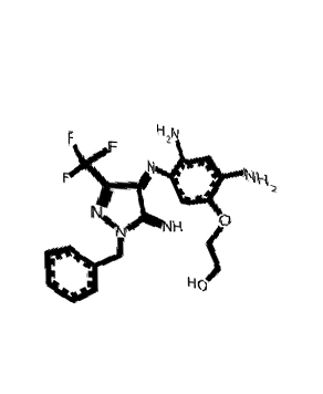 N=C1C(=Nc2cc(OCCO)c(N)cc2N)C(C(F)(F)F)=NN1Cc1ccccc1